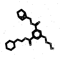 O=C(OCCC1CCCCC1)c1cc(SOOO)cc(C(=O)OCC2CC3CCC2C3)c1